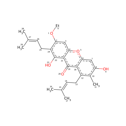 CCOc1cc2oc3cc(O)c(C)c(CC=C(C)C)c3c(=O)c2c(O)c1CC=C(C)C